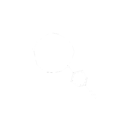 C#Cc1ccc(N2CCSCCOCCOCCSCC2)cc1